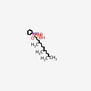 CC(C)=CCC/C(C)=C/CC/C(C)=C/CC(C(=O)Nc1ccccc1)P(=O)(O)O